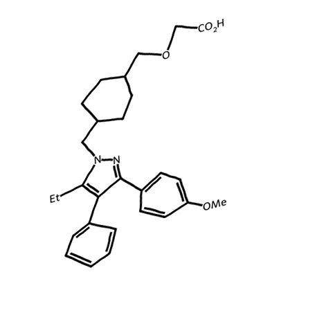 CCc1c(-c2ccccc2)c(-c2ccc(OC)cc2)nn1CC1CCC(COCC(=O)O)CC1